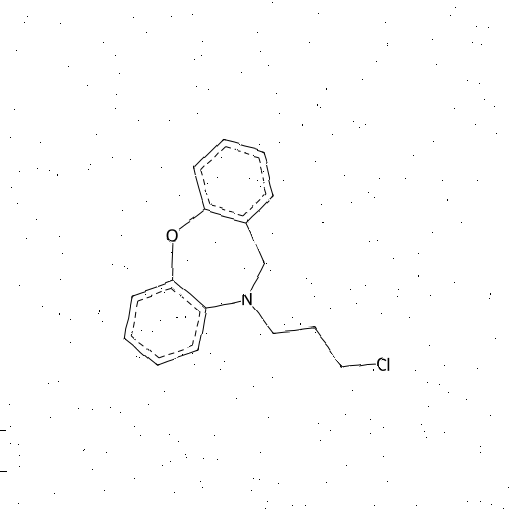 ClCCCN1Cc2ccccc2Oc2ccccc21